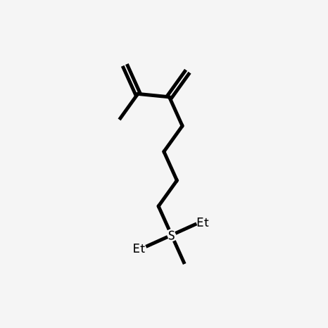 C=C(C)C(=C)CCCCS(C)(CC)CC